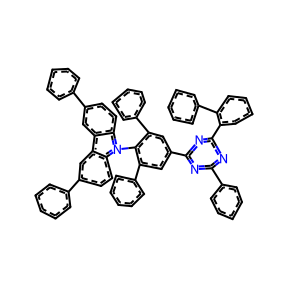 c1ccc(-c2ccc3c(c2)c2cc(-c4ccccc4)ccc2n3-c2c(-c3ccccc3)cc(-c3nc(-c4ccccc4)nc(-c4ccccc4-c4ccccc4)n3)cc2-c2ccccc2)cc1